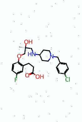 C[C@](O)(CNC1CCN(Cc2ccc(Cl)cc2)CC1)COc1ccc(F)cc1CCC(=O)O